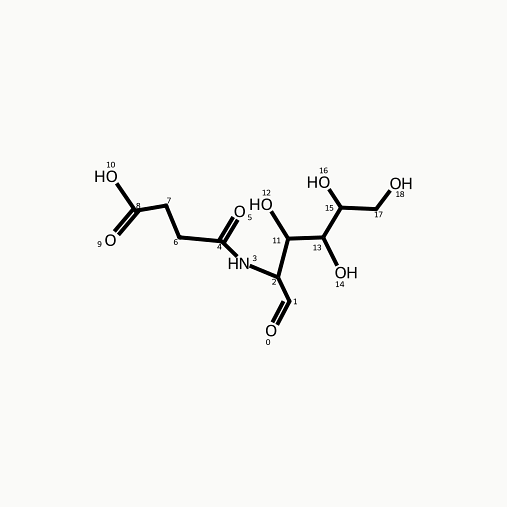 O=CC(NC(=O)CCC(=O)O)C(O)C(O)C(O)CO